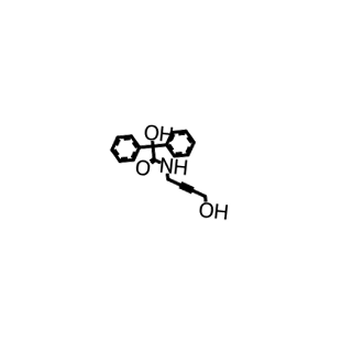 O=C(NCC#CCO)C(O)(c1ccccc1)c1ccccc1